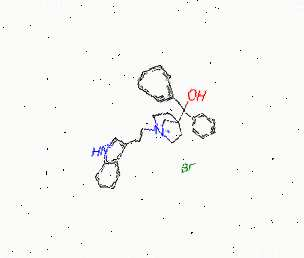 OC(c1ccccc1)(c1ccccc1)C12CC[N+](CCc3c[nH]c4ccccc34)(CC1)C2.[Br-]